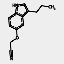 CCCc1c[nH]c2ccc(OCC#N)cc12